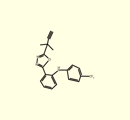 C#CC(C)(C)c1nnc(-c2ccccc2Nc2ccc(C(F)(F)F)cc2)o1